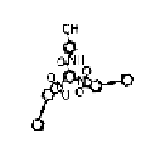 C#Cc1ccc(NC(=O)c2cc(N3C(=O)c4ccc(C#Cc5ccccc5)cc4C3=O)cc(N3C(=O)c4ccc(C#Cc5ccccc5)cc4C3=O)c2)cc1